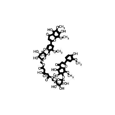 COc1cc(-c2cc(=O)c3c(O)c(OC)c(O[C@@H]4O[C@H](COC(=O)CC(C)(O)CC(=O)OC[C@H]5O[C@@H](Oc6ccc(-c7cc(=O)c8c(O)c(OC)c(O)c(OC)c8o7)cc6OC)[C@H](O)[C@@H](O)[C@@H]5O)[C@@H](O)[C@H](O)[C@H]4O)c(OC)c3o2)ccc1O